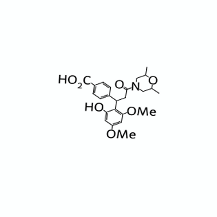 COc1cc(O)c(C(CC(=O)N2CC(C)OC(C)C2)c2ccc(C(=O)O)cc2)c(OC)c1